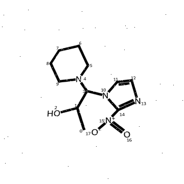 CC(O)C(N1CCCCC1)n1ccnc1[N+](=O)[O-]